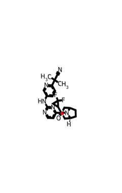 CC(C)(C#N)c1ccc(Nc2nccc(N3CC4CC[C@@H](C3)N4C(=O)C3CC3(F)F)n2)cn1